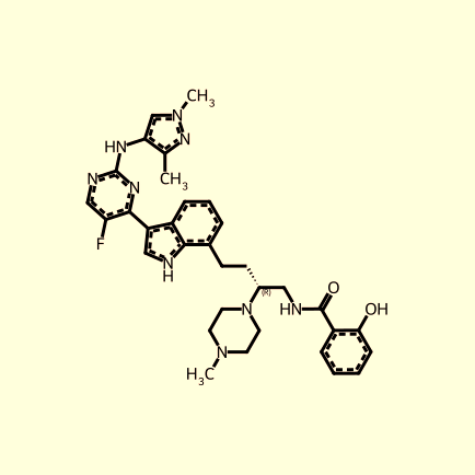 Cc1nn(C)cc1Nc1ncc(F)c(-c2c[nH]c3c(CC[C@H](CNC(=O)c4ccccc4O)N4CCN(C)CC4)cccc23)n1